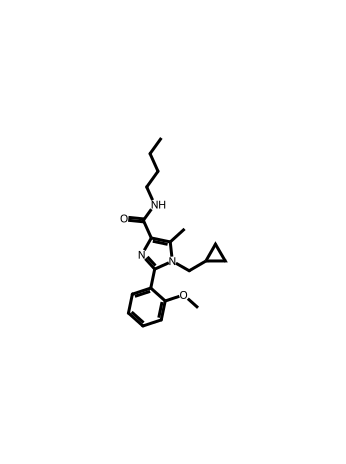 CCCCNC(=O)c1nc(-c2ccccc2OC)n(CC2CC2)c1C